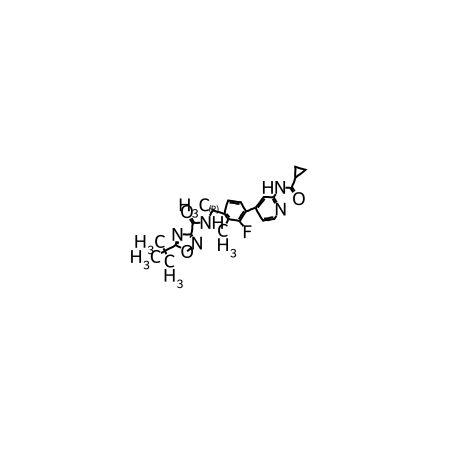 Cc1c([C@@H](C)NC(=O)c2noc(C(C)(C)C)n2)ccc(-c2ccnc(NC(=O)C3CC3)c2)c1F